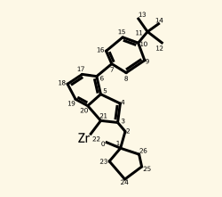 CC1(CC2=Cc3c(-c4ccc(C(C)(C)C)cc4)cccc3[CH]2[Zr])CCCC1